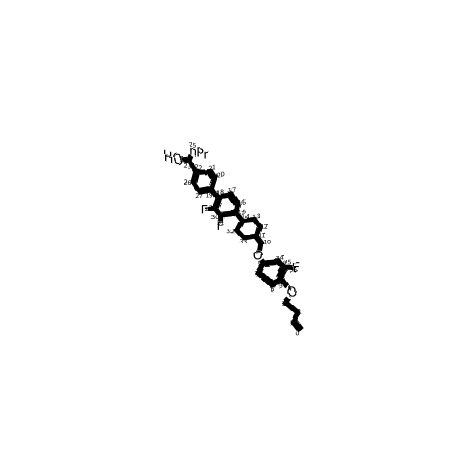 C=CCCOc1ccc(OCC2CCC(c3ccc(-c4ccc(C(O)CCC)cc4)c(F)c3F)CC2)cc1F